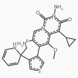 COc1c(-c2cscc2C2(CN)C=CC=CN2)c(F)cn2c(=O)n(N)c(=O)c(C3CC3)c12